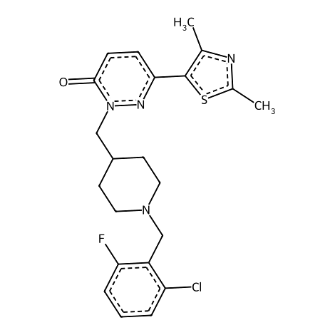 Cc1nc(C)c(-c2ccc(=O)n(CC3CCN(Cc4c(F)cccc4Cl)CC3)n2)s1